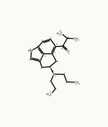 CCCN(CCC)[C@H]1Cc2c[nH]c3ccc(C(=O)C(C)C)c(c23)C1